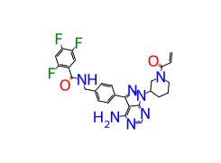 C=CC(=O)N1CCCC(n2nc(-c3ccc(CNC(=O)c4cc(F)c(F)cc4F)cc3)c3c(N)ncnc32)C1